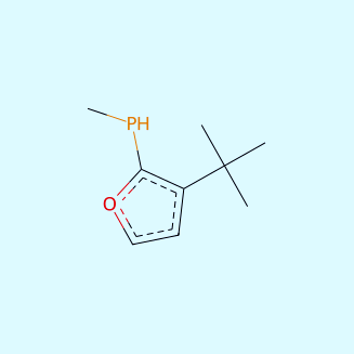 CPc1occc1C(C)(C)C